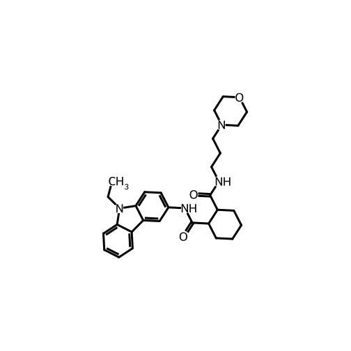 CCn1c2ccccc2c2cc(NC(=O)C3CCCCC3C(=O)NCCCN3CCOCC3)ccc21